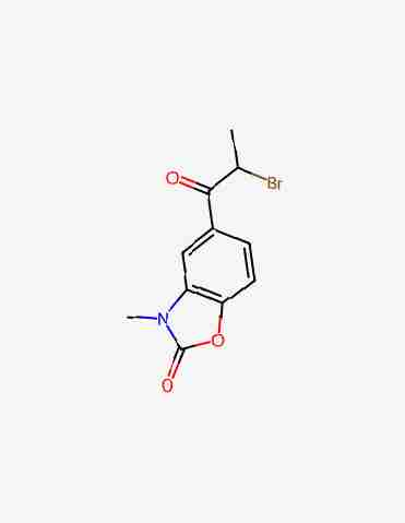 CC(Br)C(=O)c1ccc2oc(=O)n(C)c2c1